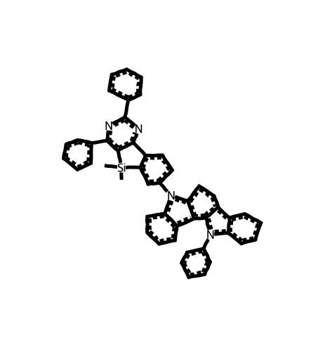 C[Si]1(C)c2cc(-n3c4ccccc4c4c3ccc3c5ccccc5n(-c5ccccc5)c34)ccc2-c2nc(-c3ccccc3)nc(-c3ccccc3)c21